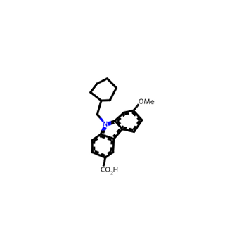 COc1ccc2c3cc(C(=O)O)ccc3n(CC3CCCCC3)c2c1